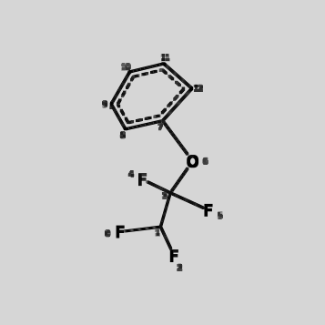 FC(F)C(F)(F)Oc1c[c]ccc1